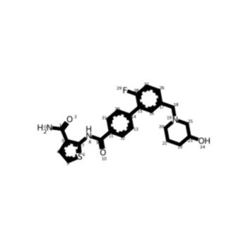 NC(=O)c1ccsc1NC(=O)c1ccc(-c2cc(CN3CCCC(O)C3)ccc2F)cc1